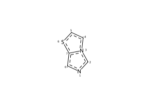 [c]1ncn2[c]csc12